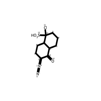 [N-]=[N+]=C1CCC2C(CCCC2(Cl)S(=O)(=O)O)C1=O